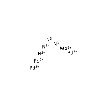 [Mo+6].[N-3].[N-3].[N-3].[N-3].[Pd+2].[Pd+2].[Pd+2]